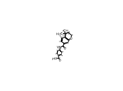 CC1(C)CCOc2cc(C(=O)Nc3ccc(C(=O)O)cc3)ccc21